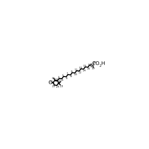 CC1=C(CCCCCCCCCCCCCCCN(C)C(=O)O)C(C)(C)CCC1=O